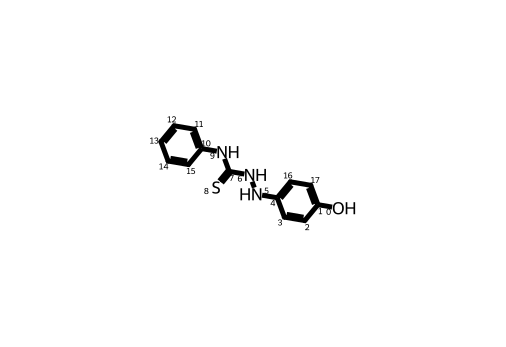 Oc1ccc(NNC(=S)Nc2ccccc2)cc1